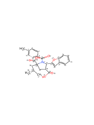 Cc1ccc(C(=O)N2C(c3cc4ccccc4o3)C(C(=O)O)CC2(CC(C)C)C(=O)O)cc1